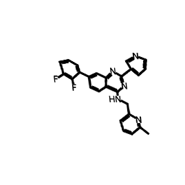 Cc1cccc(CNc2nc(-c3cccnc3)nc3cc(-c4cccc(F)c4F)ccc23)n1